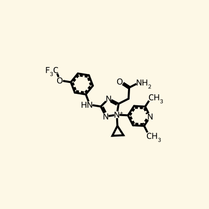 Cc1cc([N+]2(C3CC3)N=C(Nc3cccc(OC(F)(F)F)c3)N=C2CC(N)=O)cc(C)n1